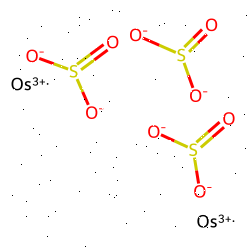 O=S([O-])[O-].O=S([O-])[O-].O=S([O-])[O-].[Os+3].[Os+3]